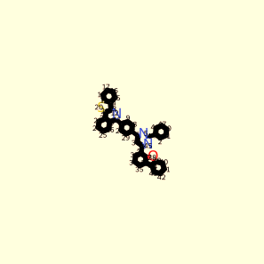 c1ccc(-c2nc(-c3ccc(-c4nc5c6ccccc6sc5c5ccccc45)cc3)cc(-c3cccc4c3oc3ccccc34)n2)cc1